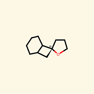 C1CCC2C(C1)C[C@]21CCCO1